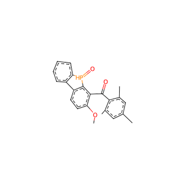 COc1ccc2c(c1C(=O)c1c(C)cc(C)cc1C)[PH](=O)c1ccccc1-2